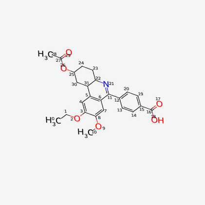 CCOc1cc2c(cc1OC)C(c1ccc(C(=O)O)cc1)=NC1CCC(OC(C)=O)CC21